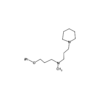 CC(C)OCCCN(C)CCCN1CCCCC1